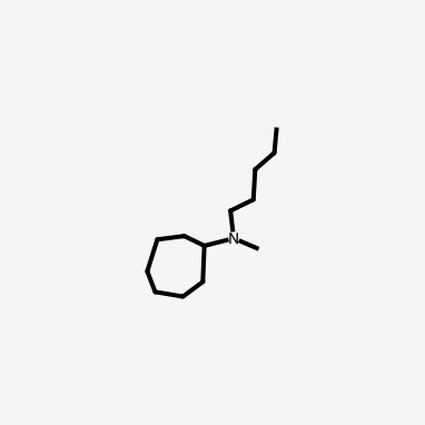 CCCCCN(C)C1CCCCCC1